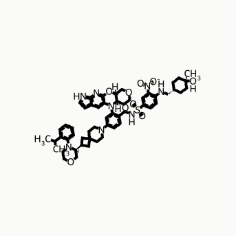 CC(C)c1ccccc1N1CCOC[C@@H]1C1CC2(CCN(c3ccc(C(=O)NS(=O)(=O)c4ccc(NC[C@H]5CC[C@](C)(O)CC5)c([N+](=O)[O-])c4)c(N4c5cc6cc[nH]c6nc5O[C@H]5COCC[C@@H]54)c3)CC2)C1